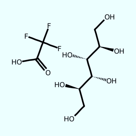 O=C(O)C(F)(F)F.OC[C@@H](O)[C@@H](O)[C@H](O)[C@H](O)CO